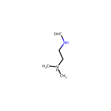 C[SiH](C)CCNC=O